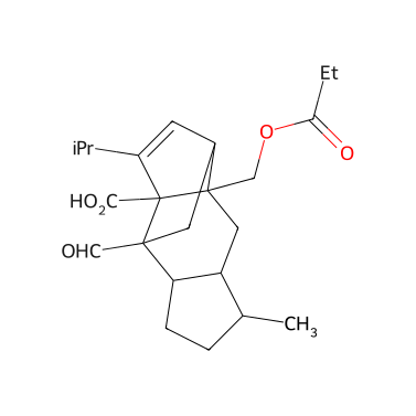 CCC(=O)OCC12CC3C(C)CCC3C3(C=O)CC1C=C(C(C)C)C32C(=O)O